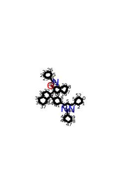 c1ccc(-c2cc(-c3ccc(-c4c(-c5cc6ccccc6c6nc(-c7ccccc7)oc56)ccc5ccccc45)cc3)nc(-c3ccccc3)n2)cc1